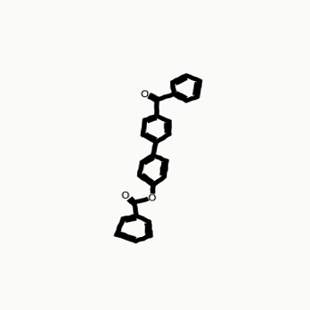 O=C(Oc1ccc(-c2ccc(C(=O)c3ccccc3)cc2)cc1)c1ccccc1